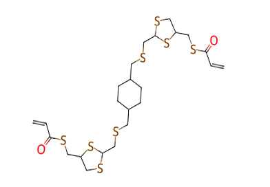 C=CC(=O)SCC1CSC(CSCC2CCC(CSCC3SCC(CSC(=O)C=C)S3)CC2)S1